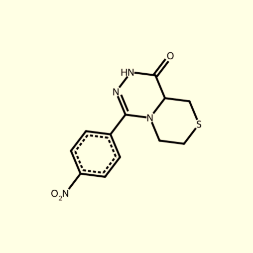 O=C1NN=C(c2ccc([N+](=O)[O-])cc2)N2CCSCC12